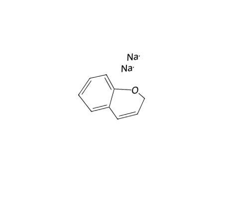 C1=Cc2ccccc2OC1.[Na].[Na]